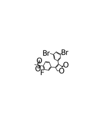 CS(=O)(=O)c1ccc(C2=C(c3cc(Br)cc(Br)c3)C(=O)OC2)cc1F